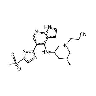 C[C@H]1C[C@@H](Nc2c(-c3ncc(S(C)(=O)=O)s3)cnc3[nH]ccc23)CN(CCC#N)C1